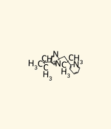 CC(C)(C)c1cnc(CC(C)(C)c2ccccn2)nc1